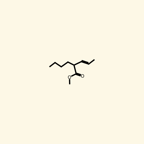 CC=CC(CCCC)C(=O)OC